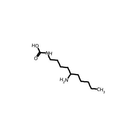 CCCCCC(N)CCCCNC(=O)O